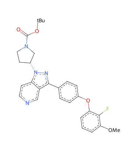 COc1cccc(Oc2ccc(-c3nn([C@@H]4CCN(C(=O)OC(C)(C)C)C4)c4ccncc34)cc2)c1F